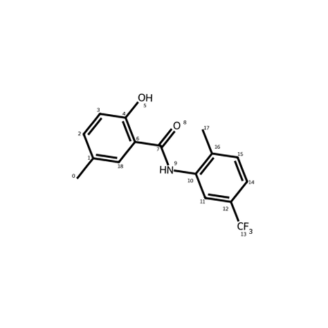 Cc1ccc(O)c(C(=O)Nc2cc(C(F)(F)F)ccc2C)c1